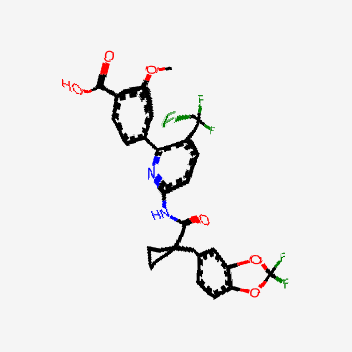 COc1cc(-c2nc(NC(=O)C3(c4ccc5c(c4)OC(F)(F)O5)CC3)ccc2C(F)(F)F)ccc1C(=O)O